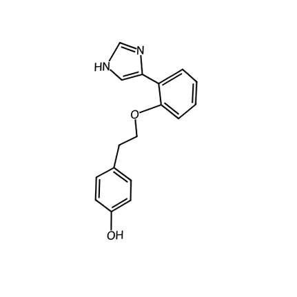 Oc1ccc(CCOc2ccccc2-c2c[nH]cn2)cc1